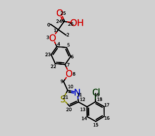 CC(C)(Oc1ccc(OCc2nc(-c3ccccc3Cl)cs2)cc1)C(=O)O